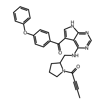 CC#CC(=O)N1CCCC1CNc1ncnc2[nH]cc(C(=O)c3ccc(Oc4ccccc4)cc3)c12